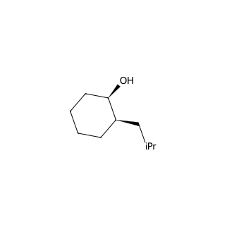 CC(C)C[C@H]1CCCC[C@H]1O